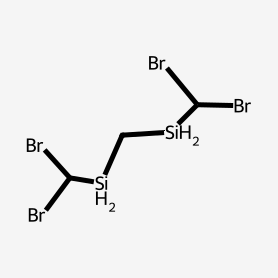 BrC(Br)[SiH2]C[SiH2]C(Br)Br